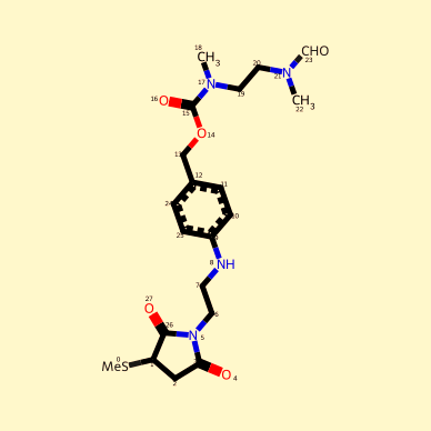 CSC1CC(=O)N(CCNc2ccc(COC(=O)N(C)CCN(C)C=O)cc2)C1=O